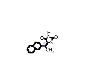 C/C(=C1\SC(=O)NC1=O)c1ccc2ccccc2c1